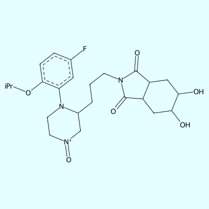 CC(C)Oc1ccc(F)cc1N1CC[N+](=O)CC1CCCN1C(=O)C2CC(O)C(O)CC2C1=O